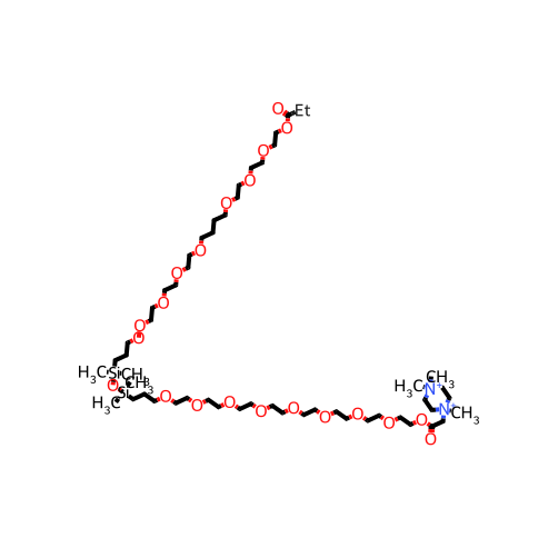 CCC(=O)OCCOCCOCCOCCCCOCCOCCOCCOOCCC[Si](C)(C)O[Si](C)(C)CCCOCCOCCOCCOCCOCCOCCOCCOCCOC(=O)C[N+]1(C)CC[N+](C)(C)CC1